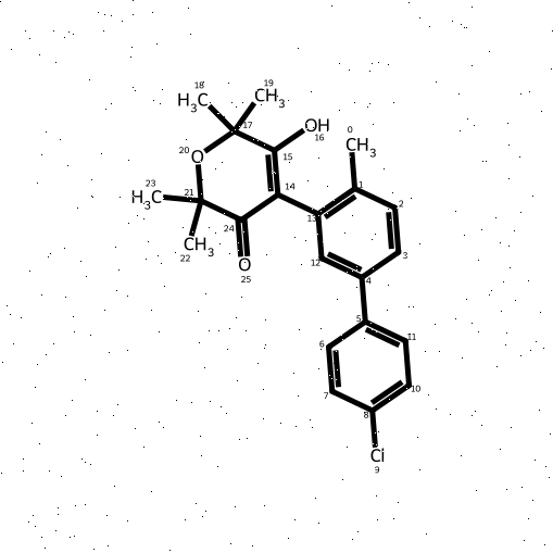 Cc1ccc(-c2ccc(Cl)cc2)cc1C1=C(O)C(C)(C)OC(C)(C)C1=O